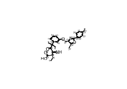 CC[C@H](C(=N)C(=O)C(C)(C)c1cccc(OCc2nc(-c3ccc(F)cc3)oc2C)c1)C(=O)O